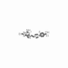 CCc1nc2c3cnn(CCN4CCN(c5ccc(C(O)CC)cc5F)CC4)c3nc(N)n2n1